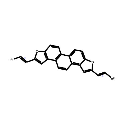 CCC/C=C/c1cc2c(ccc3c2ccc2c4cc(/C=C/CCC)oc4ccc23)o1